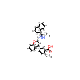 Cc1ccc([C@H]2C[C@@H](CN[C@H](C)c3cccc4ccccc34)Oc3ccccc32)cc1C(=O)O